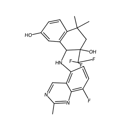 Cc1ncc2c(NC3c4cc(O)ccc4C(C)(C)CC3(O)C(F)(F)F)ccc(F)c2n1